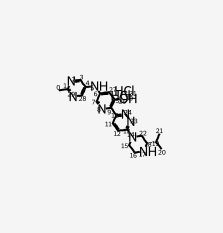 Cc1ncc(Nc2cnc(-c3ccc(N4CCN[C@@H](C(C)C)C4)nn3)c(O)c2)cn1.Cl.Cl